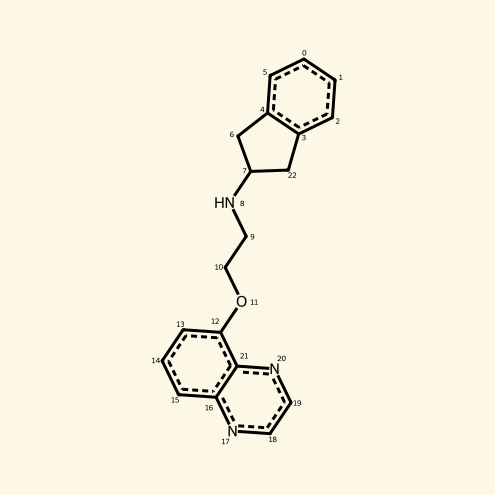 c1ccc2c(c1)CC(NCCOc1cccc3nccnc13)C2